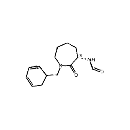 O=[C]N[C@H]1CCCCN(CC2C=CC=CC2)C1=O